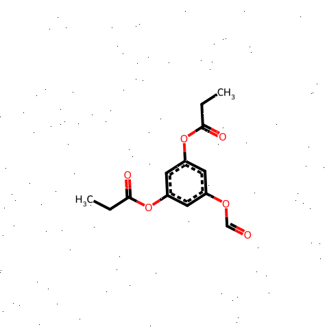 CCC(=O)Oc1cc(OC=O)cc(OC(=O)CC)c1